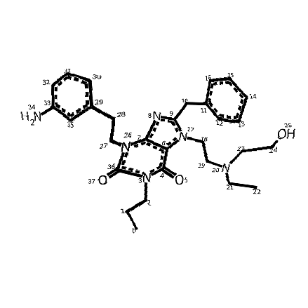 CCCn1c(=O)c2c(nc(Cc3ccccc3)n2CCN(CC)CCO)n(CCc2cccc(N)c2)c1=O